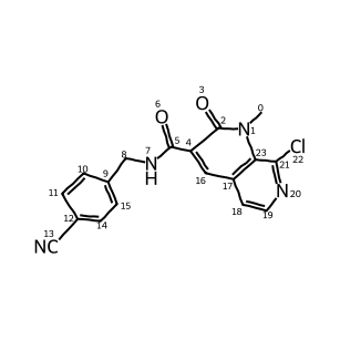 Cn1c(=O)c(C(=O)NCc2ccc(C#N)cc2)cc2ccnc(Cl)c21